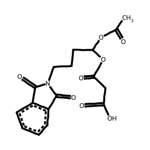 CC(=O)OC(CCCN1C(=O)c2ccccc2C1=O)OC(=O)CC(=O)O